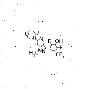 Cn1nc(-c2cc(C(F)(F)F)c(F)c(O)c2F)c2cnc(N3CCOCCC34CC4)cc21